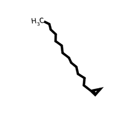 CCCCCCCCCCCCCC1=CC1